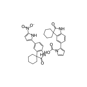 O=C(O)n1cccc1-c1ccc2c(c1)C1(CCCCC1)C(=O)N2.O=C1Nc2ccc(-c3ccc([N+](=O)[O-])[nH]3)cc2C12CCCCC2